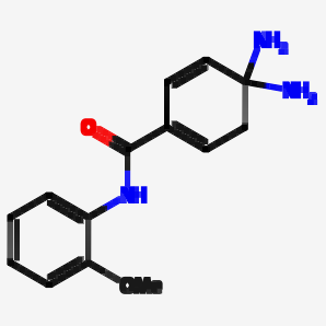 COc1ccccc1NC(=O)C1=CCC(N)(N)C=C1